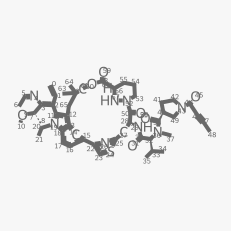 C=C/C(=C(\N=C/C)[C@H](C)OC)c1c2c3cc(ccc3n1CC)-c1csc(n1)C[C@H](NC(=O)[C@H](C(C)C)N(C)C(=O)[C@H]1CCN(C(=O)C#CC)C1)C(=O)N1CCC[C@H](N1)C(=O)OCC(C)(C)C2